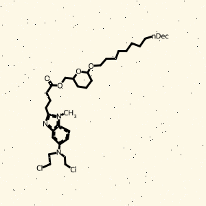 CCCCCCCCCCCCCCCCCCOC1CCCC(COC(=O)CCCc2nc3cc(N(CCCl)CCCl)ccc3n2C)O1